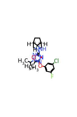 Cc1nnc(N2C[C@H]3CC[C@@H](C2)[C@H]3Nc2nc(Oc3cc(F)cc(Cl)c3)n(C(C)C)n2)o1